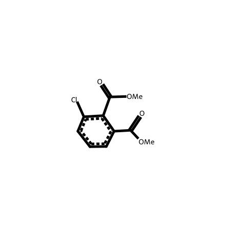 COC(=O)c1cccc(Cl)c1C(=O)OC